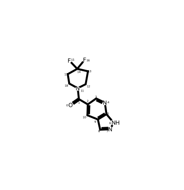 O=C(c1cnc2[nH]ncc2c1)N1CCC(F)(F)CC1